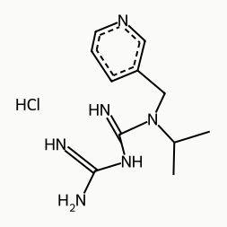 CC(C)N(Cc1cccnc1)C(=N)NC(=N)N.Cl